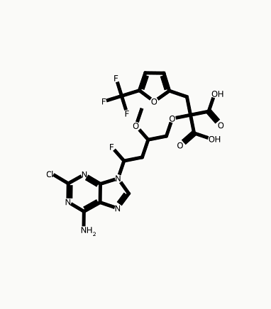 COC(COC(Cc1ccc(C(F)(F)F)o1)(C(=O)O)C(=O)O)CC(F)n1cnc2c(N)nc(Cl)nc21